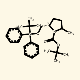 CC1CC[C@@H](CO[Si](c2ccccc2)(c2ccccc2)C(C)(C)C)N1C(=O)OC(C)(C)C